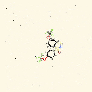 O=S1(c2ccc(OC(F)(F)F)cc2)=NSc2cc(OC(F)(F)F)ccc21